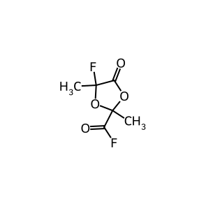 CC1(F)OC(C)(C(=O)F)OC1=O